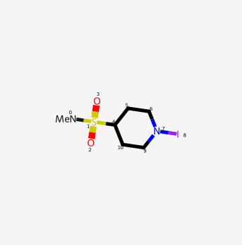 CNS(=O)(=O)C1CCN(I)CC1